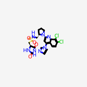 O=C1NC(=O)[C@H](CS(=O)(=O)NC[C@@H]2CCCN2c2cc(-n3ccnc3)c3ccc(Cl)c(Cl)c3n2)N1